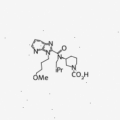 COCCCCn1c(C(=O)N(CC(C)C)[C@H]2CCCN(C(=O)O)C2)nc2cccnc21